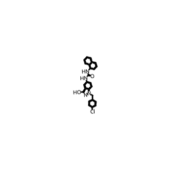 O=C(Nc1ccc2c(c1)c(O)nn2Cc1ccc(Cl)cc1)Nc1cccc2ccccc12